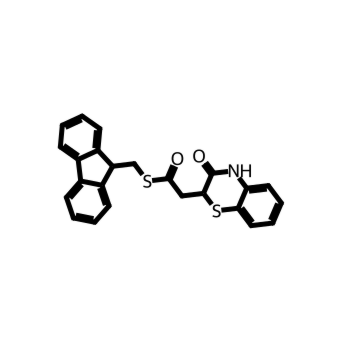 O=C(CC1Sc2ccccc2NC1=O)SCC1c2ccccc2-c2ccccc21